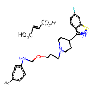 CC(=O)c1ccc(NCOCCCN2CCC(c3nsc4cc(F)ccc34)CC2)cc1.O=C(O)C=CC(=O)O